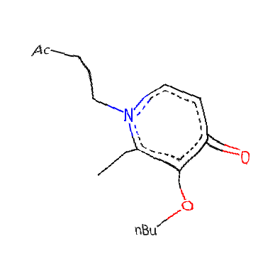 CCCCOc1c(C)n(CCC(C)=O)ccc1=O